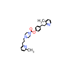 Cc1cccc(CCCN2CCN(C(=O)Oc3ccc(CCc4ncccc4C)cc3)CC2)n1